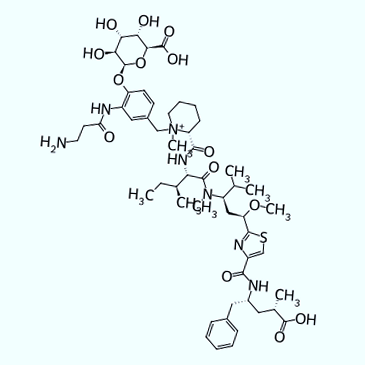 CC[C@H](C)[C@H](NC(=O)[C@H]1CCCC[N+]1(C)Cc1ccc(O[C@@H]2O[C@H](C(=O)O)[C@@H](O)[C@@H](O)[C@@H]2O)c(NC(=O)CCN)c1)C(=O)N(C)[C@H](C[C@@H](OC)c1nc(C(=O)N[C@@H](Cc2ccccc2)C[C@H](C)C(=O)O)cs1)C(C)C